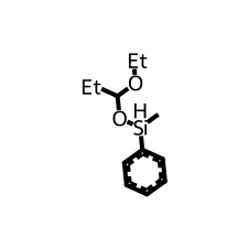 CCOC(CC)O[SiH](C)c1ccccc1